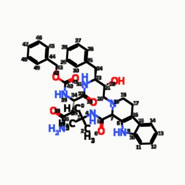 CC(C)(C)NC(=O)C1c2[nH]c3ccccc3c2CCN1C[C@@H](O)[C@H](Cc1ccccc1)NC(=O)[C@H](CC(N)=O)NC(=O)OCc1ccccc1